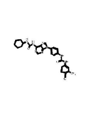 O=C(Nc1ccc(-n2cnc3c(NC(=O)NC4CCCCC4)ncnc32)cc1)Nc1ccc(Cl)c(C(F)(F)F)c1